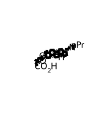 CCCN(C)CCC[C@]12CCC[C@@H]1[C@H]1CCC3[C@@]4(C)CC[C@H](OC(=O)CC(C)(C)CC(=O)O)C(C)(C)C4CC[C@@]3(C)[C@]1(C)CC2